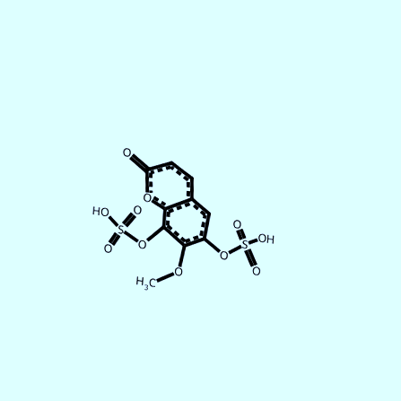 COc1c(OS(=O)(=O)O)cc2ccc(=O)oc2c1OS(=O)(=O)O